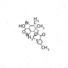 COC1C(Br)=C(C(=O)O)C(Br)=C(C)C1(C)C=CC(=O)c1cc(C)cs1